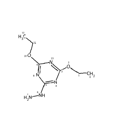 CCOc1nc(NN)nc(OCC)n1